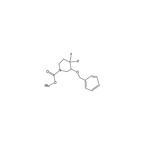 CC(C)(C)OC(=O)N1CCC(F)(F)C(OCc2ccccc2)C1